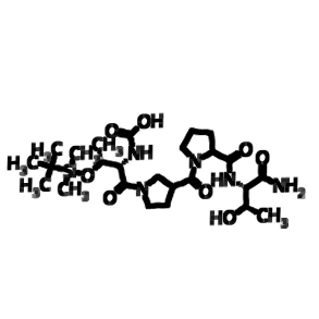 C[C@@H](O)[C@H](NC(=O)C1CCCN1C(=O)C1CCN(C(=O)[C@@H](NC(=O)O)[C@@H](C)O[Si](C)(C)C(C)(C)C)C1)C(N)=O